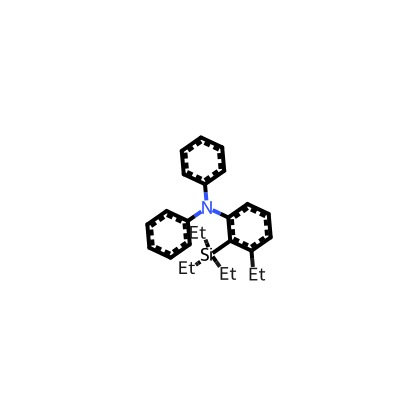 CCc1cccc(N(c2ccccc2)c2ccccc2)c1[Si](CC)(CC)CC